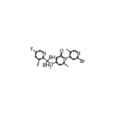 BC(B)(Oc1cc(C)n(-c2cc(Br)ncc2C)c(=O)c1)c1ncc(F)cc1F